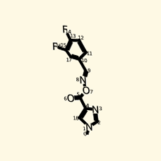 Cn1cnc(C(=O)ON=Cc2ccc(F)c(F)c2)c1